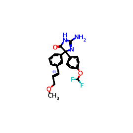 COC/C=C/c1cccc(C2(c3ccc(OC(F)F)cc3)N=C(N)NC2=O)c1